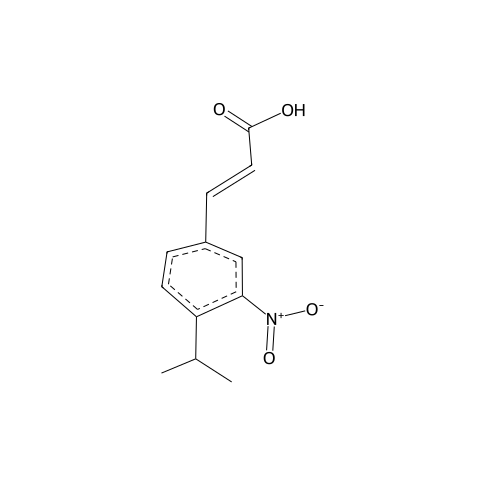 CC(C)c1ccc(C=CC(=O)O)cc1[N+](=O)[O-]